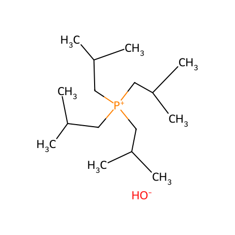 CC(C)C[P+](CC(C)C)(CC(C)C)CC(C)C.[OH-]